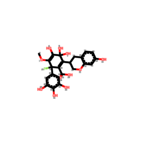 COC1=C(O)C(O)(O)C(C2COc3cc(O)ccc3C2)=C(C(=O)O)C1(F)c1cc(O)c(O)c(O)c1